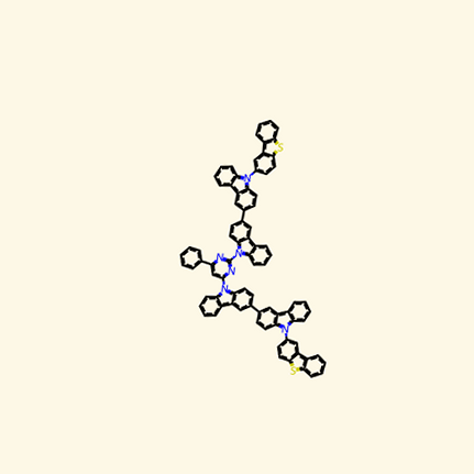 c1ccc(-c2cc(-n3c4ccccc4c4cc(-c5ccc6c(c5)c5ccccc5n6-c5ccc6sc7ccccc7c6c5)ccc43)nc(-n3c4ccccc4c4cc(-c5ccc6c(c5)c5ccccc5n6-c5ccc6sc7ccccc7c6c5)ccc43)n2)cc1